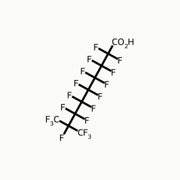 O=C(O)C(F)(F)C(F)(F)C(F)(F)C(F)(F)C(F)(F)C(F)(F)C(F)(C(F)(F)F)C(F)(F)F